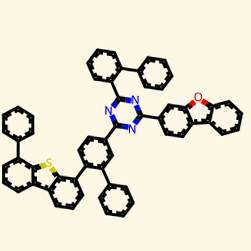 c1ccc(-c2ccccc2-c2nc(-c3ccc(-c4cccc5c4sc4c(-c6ccccc6)cccc45)c(-c4ccccc4)c3)nc(-c3ccc4c(c3)oc3ccccc34)n2)cc1